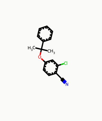 CC(C)(Oc1ccc(C#N)c(Cl)c1)c1ccccc1